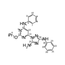 CC(C)Oc1nc(Nc2ccccc2)cc(-n2nc(Nc3ccccc3)nc2N)n1